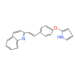 C(=Cc1ccc2ccccc2n1)c1ccc(Oc2ccc[nH]2)cc1